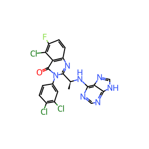 C[C@H](Nc1ncnc2[nH]cnc12)c1nc2ccc(F)c(Cl)c2c(=O)n1-c1ccc(Cl)c(Cl)c1